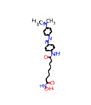 CN(C)c1ccc(/N=N/c2ccc(NC(=O)CCCCCCC(=O)NO)cc2)cc1